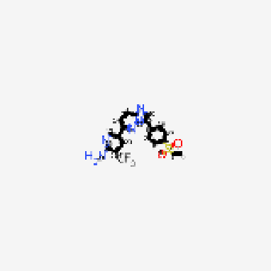 C=CS(=O)(=O)c1ccc(-c2cnc3ccc(-c4cnc(N)c(C(F)(F)F)c4)nn23)cc1